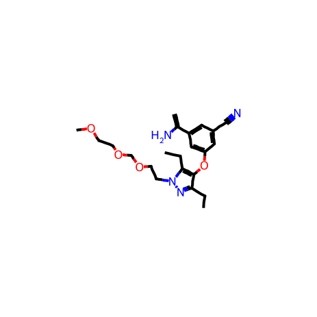 C=C(N)c1cc(C#N)cc(Oc2c(CC)nn(CCOCOCCOC)c2CC)c1